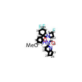 COc1ccc(C2(C(=O)N3C[C@H](F)C[C@@H]3C(=O)Nc3ccc4c(n3)C=CC4)CCC(F)(F)CC2)cc1